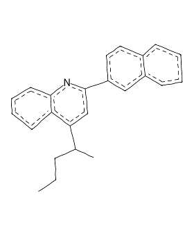 CCCC(C)c1cc(-c2ccc3ccccc3c2)nc2ccccc12